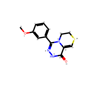 COc1cccc(C2=NNC(=O)C3=CSCCN32)c1